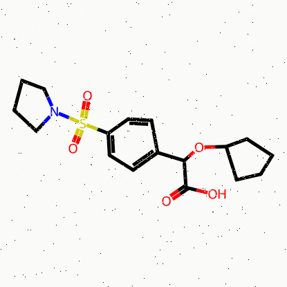 O=C(O)C(OC1CCCC1)c1ccc(S(=O)(=O)N2CCCC2)cc1